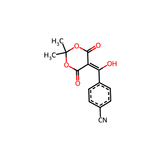 CC1(C)OC(=O)C(=C(O)c2ccc(C#N)cc2)C(=O)O1